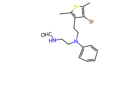 Cc1sc(C)c(CCN(CCNC=O)c2ccccc2)c1Br